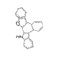 C1=CC2c3c([nH]c4ccccc34)-c3oc4ccccc4c3C2C=C1